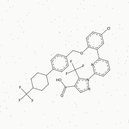 O=C(O)c1cnn(-c2cccc(-c3cc(Cl)ccc3OCc3ccc(C4CCC(C(F)(F)F)CC4)cc3)n2)c1C(F)(F)F